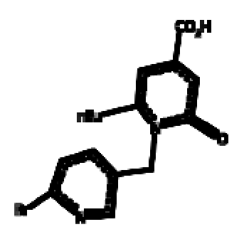 CCCCc1cc(C(=O)O)cc(=O)n1Cc1ccc(Br)nc1